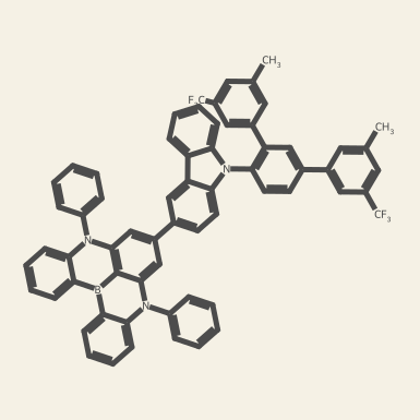 Cc1cc(-c2ccc(-n3c4ccccc4c4cc(-c5cc6c7c(c5)N(c5ccccc5)c5ccccc5B7c5ccccc5N6c5ccccc5)ccc43)c(-c3cc(C)cc(C(F)(F)F)c3)c2)cc(C(F)(F)F)c1